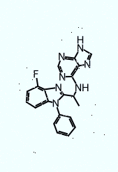 CC(Nc1ncnc2[nH]cnc12)c1nc2c(F)cccc2n1-c1ccccc1